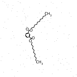 CCCCCCCCCCCOC(=O)c1cccc(C(=O)OCCCCCCCCCCC)c1